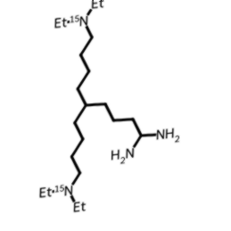 CC[15N](CC)CCCCC(CCCC[15N](CC)CC)CCCC(N)N